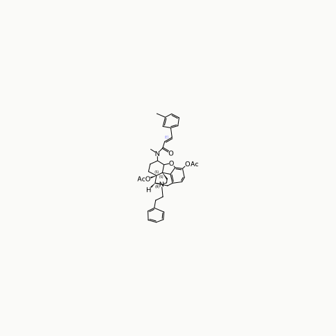 CC(=O)Oc1ccc2c3c1OC1C(N(C)C(=O)/C=C/c4cccc(C)c4)CC[C@@]4(OC(C)=O)[C@@H](C2)N(CCc2ccccc2)CC[C@]314